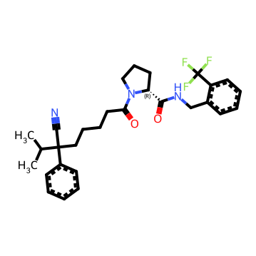 CC(C)C(C#N)(CCCCC(=O)N1CCC[C@@H]1C(=O)NCc1ccccc1C(F)(F)F)c1ccccc1